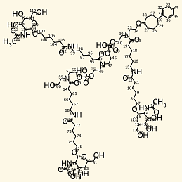 CC(=O)NC1C(OCCCCCC(=O)NCCCCCC(=O)N(CCOC2CCCC(c3ccccc3)CC2)CCOP(=O)(O)OCCN(CCOP(=O)(O)OCCN(CCO)C(=O)CCCCCNC(=O)CCCCCOC2OC(CO)CC(O)(CO)C2NC(C)=O)C(=O)CCCCCNC(=O)CCCCCOC2OC(CO)C(O)C(O)C2NC(C)=O)OC(CO)C(O)C1O